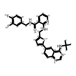 CC(C)(C)Nc1ncnc2ccc(-c3ccc(CNc4ncccc4C(=O)NCc4ccc(F)c(F)c4)s3)cc12